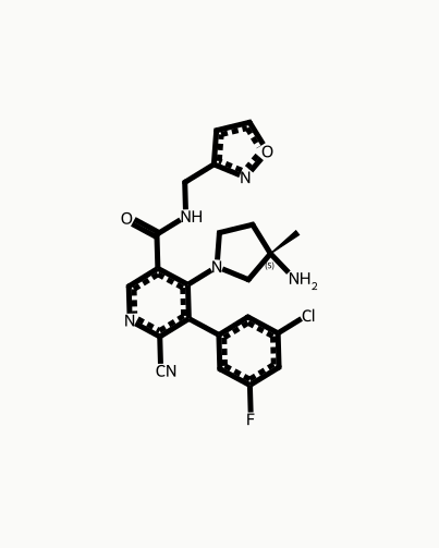 C[C@]1(N)CCN(c2c(C(=O)NCc3ccon3)cnc(C#N)c2-c2cc(F)cc(Cl)c2)C1